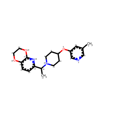 Cc1cncc(OC2CCN(C(C)c3ccc4c(n3)OCCO4)CC2)c1